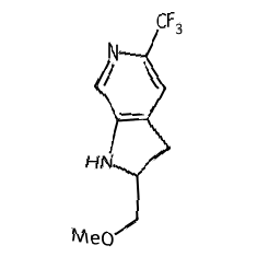 COCC1Cc2cc(C(F)(F)F)ncc2N1